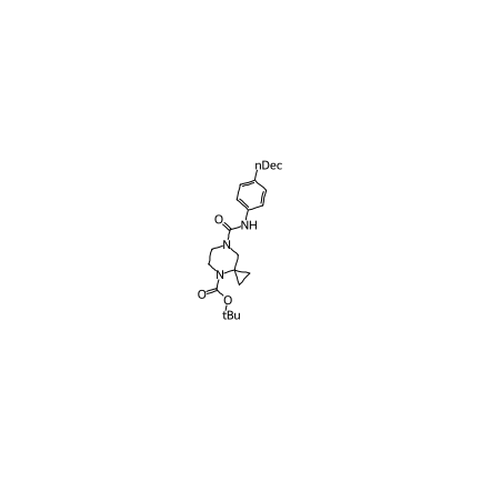 CCCCCCCCCCc1ccc(NC(=O)N2CCN(C(=O)OC(C)(C)C)C3(CC3)C2)cc1